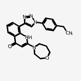 N#CCc1ccc(-n2cc(-c3cccc4c(=O)cc(N5CCCOCC5)[nH]c34)nn2)cc1